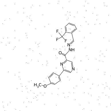 COc1ccc(-c2cncc(C(=O)NN=Cc3ccccc3C(F)(F)F)n2)cc1